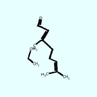 CC(C)=CCC/C(C)=C/C=O.CCO